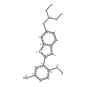 CCN(CC)Cc1ccc2nc(-c3cc(O)ccc3OC)sc2c1